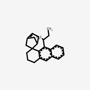 CCC(C)c1c2c(cc3ccccc13)CCCC21CC2=CCC1C2